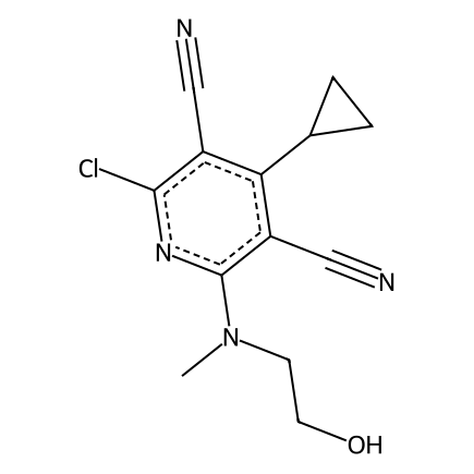 CN(CCO)c1nc(Cl)c(C#N)c(C2CC2)c1C#N